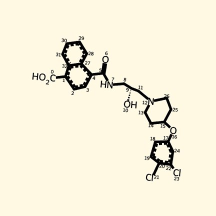 O=C(O)c1ccc(C(=O)NC[C@@H](O)CN2CCC(Oc3ccc(Cl)c(Cl)c3)CC2)c2ccccc12